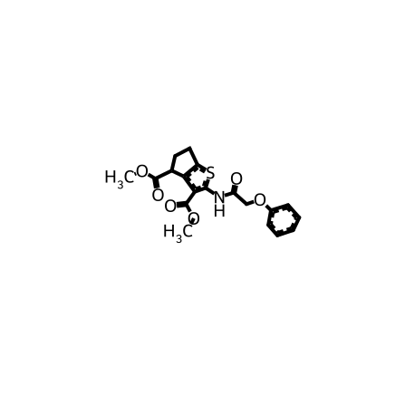 COC(=O)c1c(NC(=O)COc2ccccc2)sc2c1C(C(=O)OC)CC2